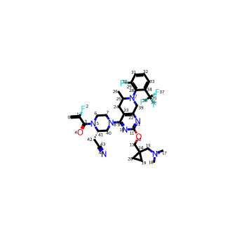 C=C(F)C(=O)N1CCN(c2nc(OCC3(CN(C)C)CC3)nc3c2CC(C)N(c2c(F)cccc2C(F)(F)F)C3)C[C@@H]1CC#N